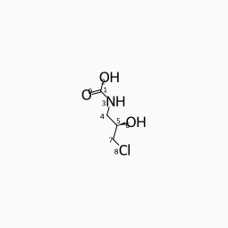 O=C(O)NC[C@@H](O)CCl